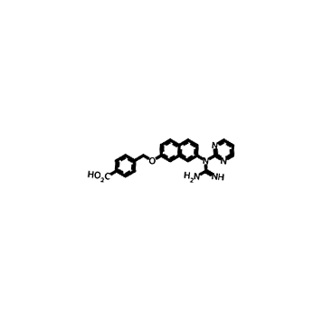 N=C(N)N(c1ccc2ccc(OCc3ccc(C(=O)O)cc3)cc2c1)c1ncccn1